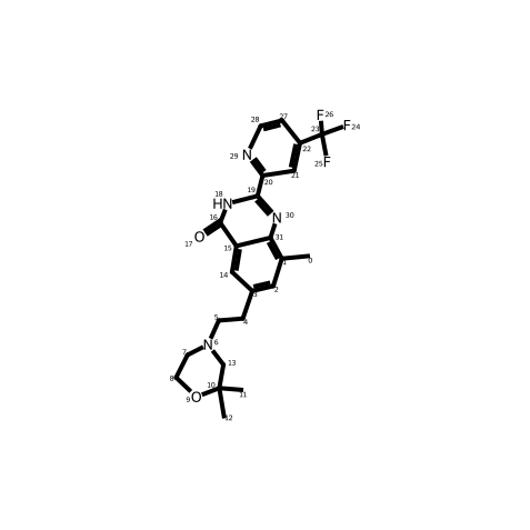 Cc1cc(CCN2CCOC(C)(C)C2)cc2c(=O)[nH]c(-c3cc(C(F)(F)F)ccn3)nc12